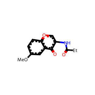 CCC(=O)Nc1coc2ccc(OC)cc2c1=O